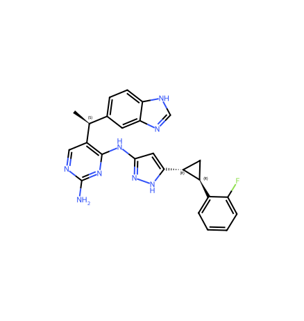 C[C@@H](c1ccc2[nH]cnc2c1)c1cnc(N)nc1Nc1cc([C@@H]2C[C@H]2c2ccccc2F)[nH]n1